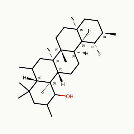 CC1CC(C)(C)[C@@H]2C(C)C[C@]3(C)[C@H](CC[C@@H]4[C@@H]5[C@@H](C)[C@H](C)CC[C@]5(C)CC[C@]43C)[C@@]2(C)C1O